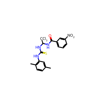 Cc1ccc(C)c(NC(=S)NC(NC(=O)c2cccc([N+](=O)[O-])c2)C(Cl)(Cl)Cl)c1